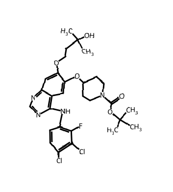 CC(C)(O)CCOc1cc2ncnc(Nc3ccc(Cl)c(Cl)c3F)c2cc1OC1CCN(C(=O)OC(C)(C)C)CC1